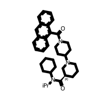 CC(C)N(C(=O)[C@@H]1CCCN(C2CCN(C(=O)c3c4ccccc4cc4ccccc34)CC2)C1)C1CCCCC1